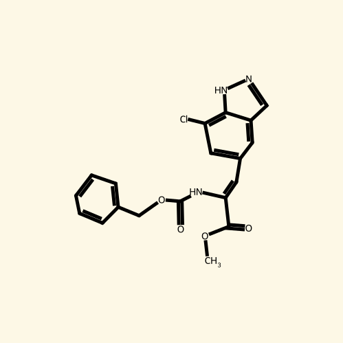 COC(=O)C(=Cc1cc(Cl)c2[nH]ncc2c1)NC(=O)OCc1ccccc1